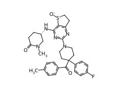 Cc1ccc(C(=O)C2(c3ccc(F)cc3)CCN(c3nc4c(c(N[C@H]5CCC(=O)N(C)C5)n3)[S+]([O-])CC4)CC2)cc1